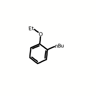 C[CH]CCc1ccccc1OCC